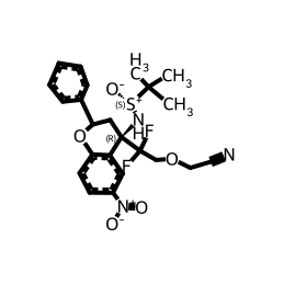 CC(C)(C)[S@@+]([O-])N[C@]1(C(F)(F)COCC#N)CC(c2ccccc2)Oc2ccc([N+](=O)[O-])cc21